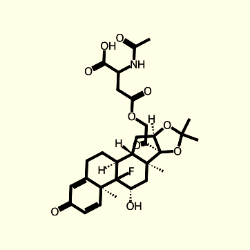 CC(=O)NC(CC(=O)OCC(=O)[C@@]12OC(C)(C)O[C@@H]1C[C@H]1[C@@H]3CCC4=CC(=O)C=C[C@]4(C)C3(F)[C@@H](O)C[C@@]12C)C(=O)O